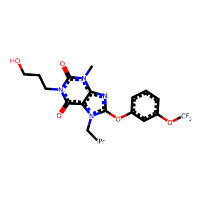 CC(C)Cn1c(Oc2cccc(OC(F)(F)F)c2)nc2c1c(=O)n(CCCO)c(=O)n2C